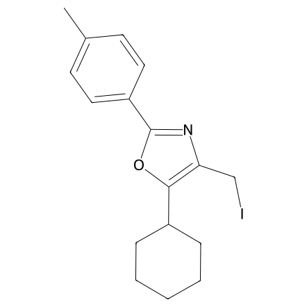 Cc1ccc(-c2nc(CI)c(C3CCCCC3)o2)cc1